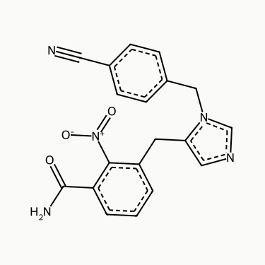 N#Cc1ccc(Cn2cncc2Cc2cccc(C(N)=O)c2[N+](=O)[O-])cc1